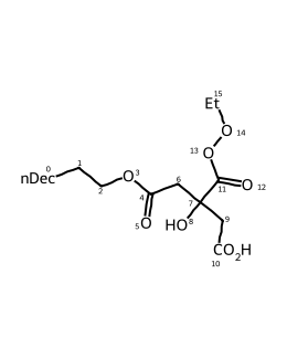 CCCCCCCCCCCCOC(=O)CC(O)(CC(=O)O)C(=O)OOCC